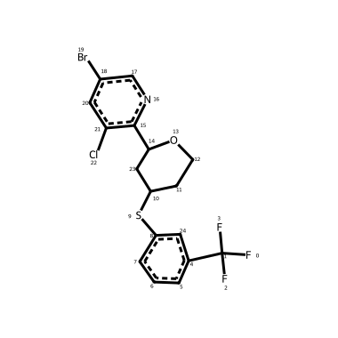 FC(F)(F)c1cccc(SC2CCOC(c3ncc(Br)cc3Cl)C2)c1